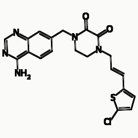 Nc1ncnc2cc(CN3CCN(CC=Cc4ccc(Cl)s4)C(=O)C3=O)ccc12